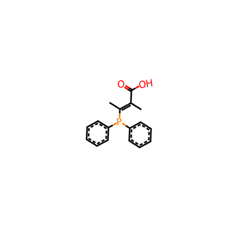 CC(C(=O)O)=C(C)P(c1ccccc1)c1ccccc1